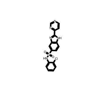 O=S(=O)(Nc1ccccc1Cl)c1ccc2[nH]c(-c3ccncn3)nc2c1